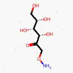 NOCC(=O)[C@@H](O)[C@H](O)[C@@H](O)CO